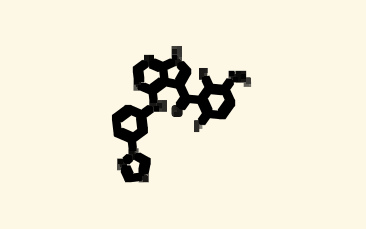 Nc1ccc(F)c(C(=O)c2c[nH]c3ncnc(Nc4cccc(-n5cncn5)c4)c23)c1F